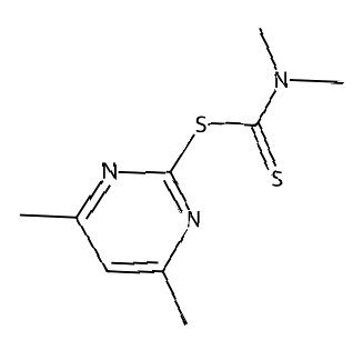 Cc1cc(C)nc(SC(=S)N(C)C)n1